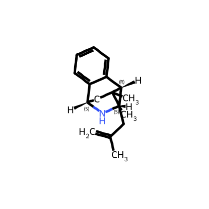 C=C(C)C[C@@H]1N[C@H]2CC(C)(C)[C@@H]1c1ccccc12